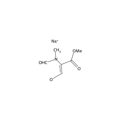 COC(=O)C(=C[O-])N(C)C=O.[Na+]